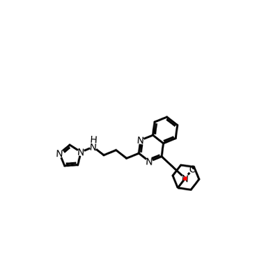 c1ccc2c(N3CC4CCC(CC4)C3)nc(CCCNn3ccnc3)nc2c1